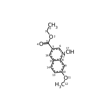 CCOC(=O)c1cnc2cc(OC)ccc2c1.Cl